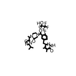 Cc1c(Cc2ccc(F)c(C(=O)N3CCN(C(C)c4nc(C(C)C)no4)C(=O)C3)c2)n[nH]c(=O)c1C.O=C(O)C(F)(F)F